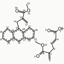 C=C(CC=CC(=O)O)C(=O)OC.C=C(Cc1c2ccccc2cc2ccccc12)C(=O)OC